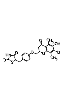 Cc1c(C)c2c(c(C)c1O)C(=O)CC(COc1ccc(CC3SC(=O)NC3=O)cc1)O2